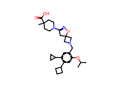 CC(C)Oc1cc(C2CCC2)c(C2CC2)cc1CN1CC2(CC(N3CCC(C)(C(=O)O)CC3)=NO2)C1